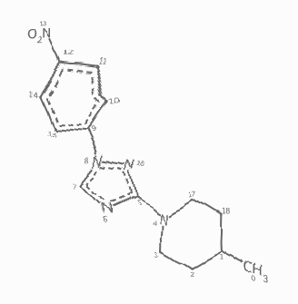 CC1CCN(c2ncn(-c3ccc([N+](=O)[O-])cc3)n2)CC1